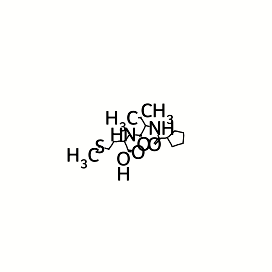 CSCCC(NC(=O)C(NC(=O)C1CCCC1)C(C)C)C(=O)O